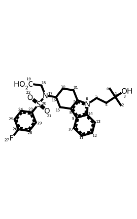 CC(C)(O)CCn1c2c(c3ccccc31)CC(N(CC(=O)O)S(=O)(=O)c1ccc(F)cc1)CC2